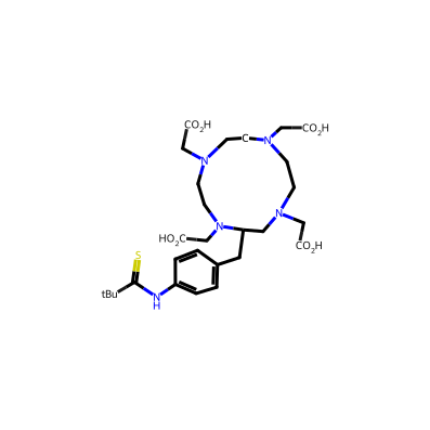 CC(C)(C)C(=S)Nc1ccc(CC2CN(CC(=O)O)CCN(CC(=O)O)CCN(CC(=O)O)CCN2CC(=O)O)cc1